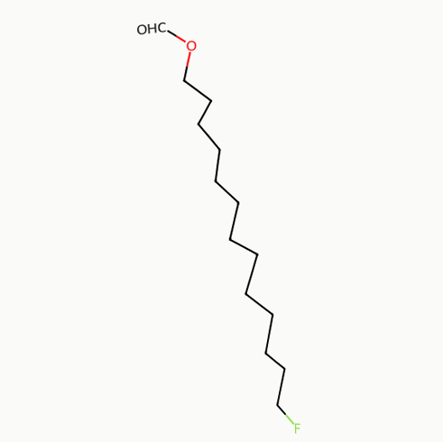 O=COCCCCCCCCCCCCCF